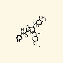 Cc1ccnc(Nc2cc(NC3CCC(N)CC3)nn3c(C(=O)Nc4ccncc4)cnc23)c1